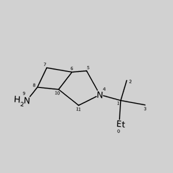 CCC(C)(C)N1CC2CC(N)C2C1